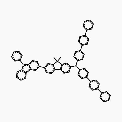 CC1(C)c2cc(-c3ccc4c(c3)c3ccccc3n4-c3ccccc3)ccc2-c2ccc(N(c3ccc(-c4ccc(-c5ccccc5)cc4)cc3)c3ccc(-c4ccc(-c5ccccc5)cc4)cc3)cc21